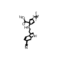 N#Cc1ccc2c(CCNc3ccc(SC(F)(F)F)cc3C(=O)O)c[nH]c2c1